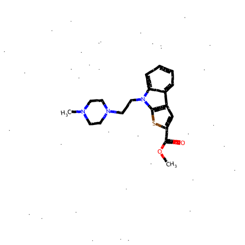 COC(=O)c1cc2c3ccccc3n(CCN3CCN(C)CC3)c2s1